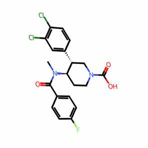 CN(C(=O)c1ccc(F)cc1)[C@@H]1CCN(C(=O)O)C[C@H]1c1ccc(Cl)c(Cl)c1